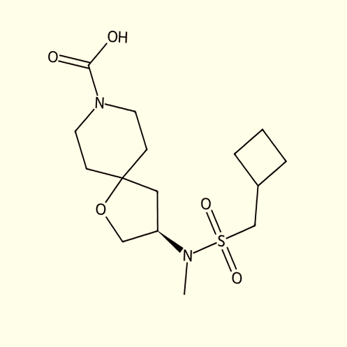 CN([C@H]1COC2(CCN(C(=O)O)CC2)C1)S(=O)(=O)CC1CCC1